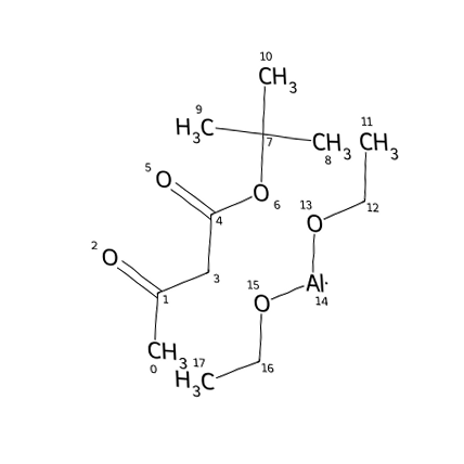 CC(=O)CC(=O)OC(C)(C)C.CC[O][Al][O]CC